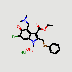 CCOC(=O)c1c(CSc2ccccc2)n(C)c2c1=C(CN(C)C)C(=O)C(Br)C=2.Cl.O